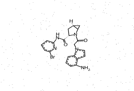 Nc1cccc2c1ccn2CC(=O)N1C2C[C@@H]2C[C@H]1C(=O)Nc1cccc(Br)n1